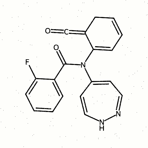 O=C=C1CC=CC=C1N(C(=O)c1ccccc1F)C1=CC=NNC=C1